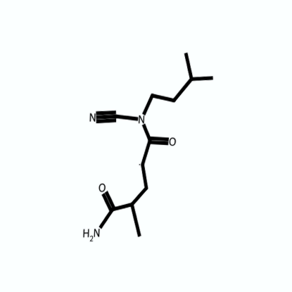 CC(C)CCN(C#N)C(=O)[CH]CC(C)C(N)=O